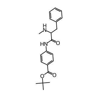 CNC(Cc1ccccc1)C(=O)Nc1ccc(C(=O)OC(C)(C)C)cc1